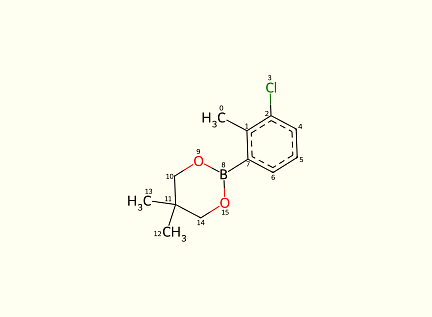 Cc1c(Cl)cccc1B1OCC(C)(C)CO1